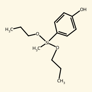 CCCO[Si](C)(OCCC)c1ccc(O)cc1